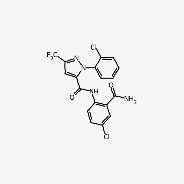 NC(=O)c1cc(Cl)ccc1NC(=O)c1cc(C(F)(F)F)nn1-c1ccccc1Cl